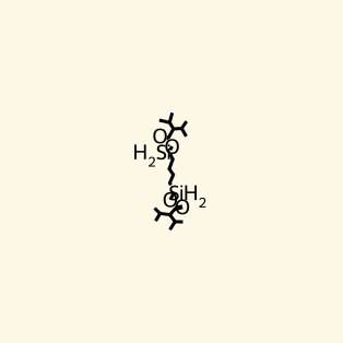 CC(C)C(C(=O)O[SiH2]CCCC[SiH2]OC(=O)C(C(C)C)C(C)C)C(C)C